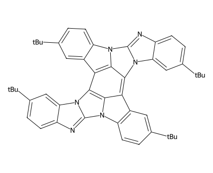 CC(C)(C)c1ccc2c(c1)c1c3c4c(c5cc(C(C)(C)C)ccc5n4c4nc5ccc(C(C)(C)C)cc5n34)c3c1n2c1nc2ccc(C(C)(C)C)cc2n31